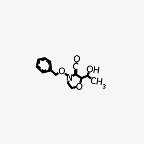 CC(O)C1OCCN(OCc2ccccc2)C1=C=O